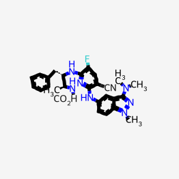 C[C@H](NC(=O)O)[C@H](Cc1ccccc1)Nc1nc(Nc2ccc3c(c2)c(N(C)C)nn3C)c(C#N)cc1F